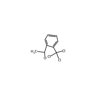 CC([O])c1ccccc1C(Cl)(Cl)Cl